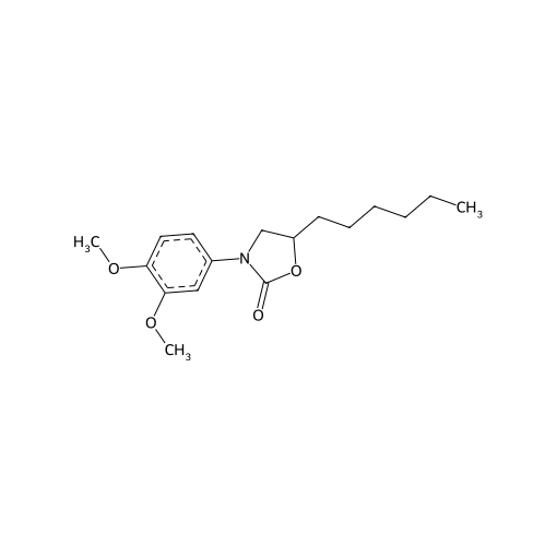 CCCCCCC1CN(c2ccc(OC)c(OC)c2)C(=O)O1